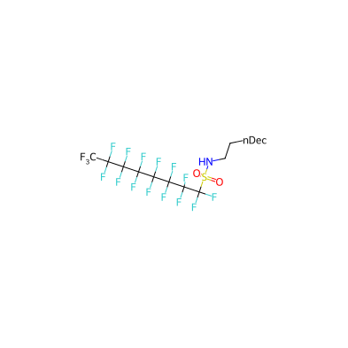 CCCCCCCCCCCCNS(=O)(=O)C(F)(F)C(F)(F)C(F)(F)C(F)(F)C(F)(F)C(F)(F)C(F)(F)C(F)(F)F